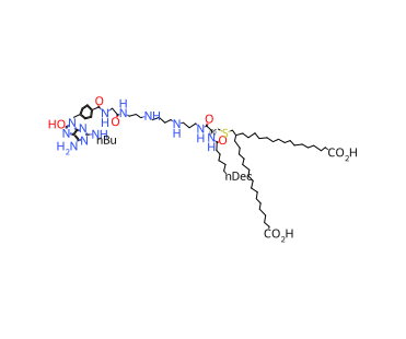 CCCCCCCCCCCCCCCC(=O)N[C@@H](CSCC(CCCCCCCCCCCCCCCCC(=O)O)CCCCCCCCCCCCCCCC(=O)O)C(=O)NCCCNCCCCNCCCNC(=O)CNC(=O)c1ccc(Cn2c(O)nc3c(N)nc(NCCCC)nc32)cc1